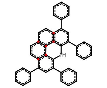 c1ccc(-c2cc(-c3ccccc3)c(Pc3c(-c4ccccc4)cc(-c4ccccc4)cc3-c3ccccc3)c(-c3ccccc3)c2)cc1